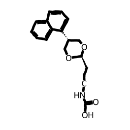 O=C(O)NCCC[C@H]1OC[C@H](c2cccc3ccccc32)CO1